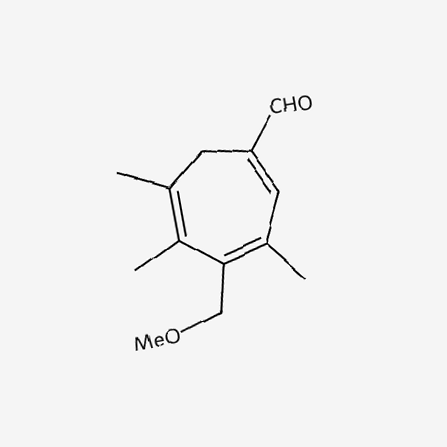 COCC1=C(C)C=C(C=O)CC(C)=C1C